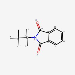 CC(C)(C)[Si](C)(C)N1C(=O)c2ccccc2C1=O